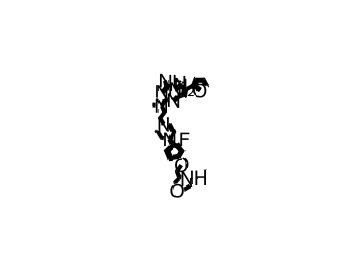 CN(CCN1CCN(c2ccc(OCC3COCCN3)cc2F)CC1)c1nc(N)n2nc(-c3ccco3)cc2n1